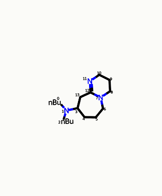 CCCCN(CCCC)C1CCCN2CCCN=C2C1